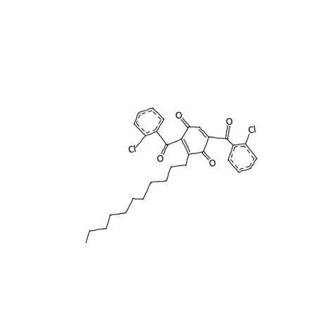 CCCCCCCCCCCC1=C(C(=O)c2ccccc2Cl)C(=O)C=C(C(=O)c2ccccc2Cl)C1=O